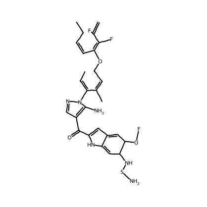 C=C(F)/C(F)=C(\C=C/CC)OC/C=C(C)\C(=C/C)n1ncc(C(=O)c2cc3c([nH]2)=CC(NSN)C(OF)C=3)c1N